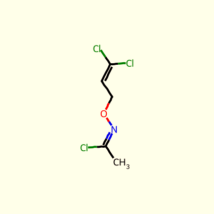 CC(Cl)=NOCC=C(Cl)Cl